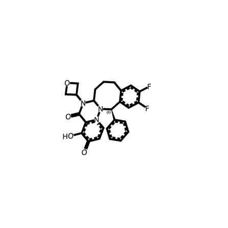 O=C1c2c(O)c(=O)ccn2N2C(CCCc3cc(F)c(F)cc3[C@H]2c2ccccc2)N1C1COC1